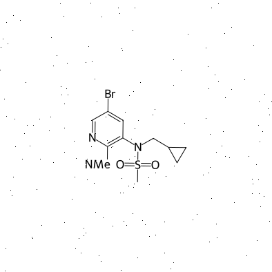 CNc1ncc(Br)cc1N(CC1CC1)S(C)(=O)=O